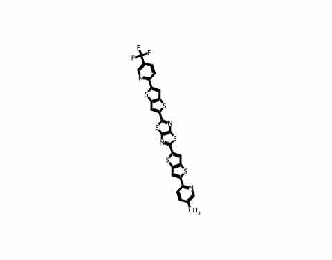 Cc1ccc(-c2cc3sc(-c4nc5sc(-c6cc7sc(-c8ccc(C(F)(F)F)cn8)cc7s6)nc5s4)cc3s2)nc1